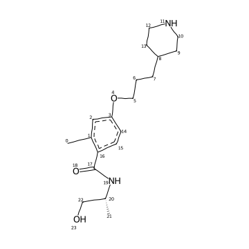 Cc1cc(OCCCC2CCNCC2)ccc1C(=O)N[C@H](C)CO